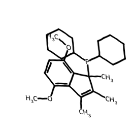 COc1ccc(OC)c2c1C(C)=C(C)C2(C)P(C1CCCCC1)C1CCCCC1